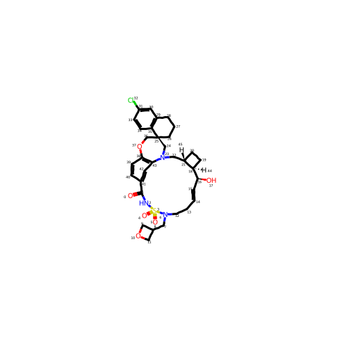 O=C1NS(=O)(=O)N(CC2COC2)CC/C=C/[C@H](O)[C@@H]2CC[C@H]2CN2C[C@@]3(CCCc4cc(Cl)ccc43)COc3ccc1cc32